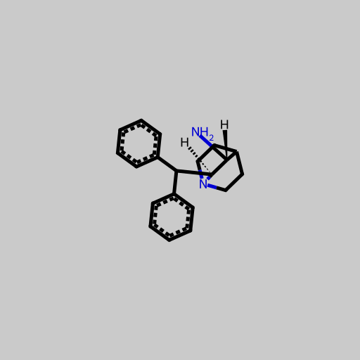 N[C@@H]1C2CCN(CC2)[C@H]1C(c1ccccc1)c1ccccc1